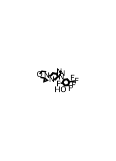 Oc1c(F)c(-n2nnc3cc(N4CCOCC45CC5)ncc32)cc(C(F)(F)F)c1F